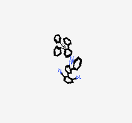 N#Cc1cccc(C#N)c1-c1ccc2c(c1)c1ccccc1n2-c1ccc2c(c1)-c1ccccc1[Si]2(c1ccccc1)c1ccccc1